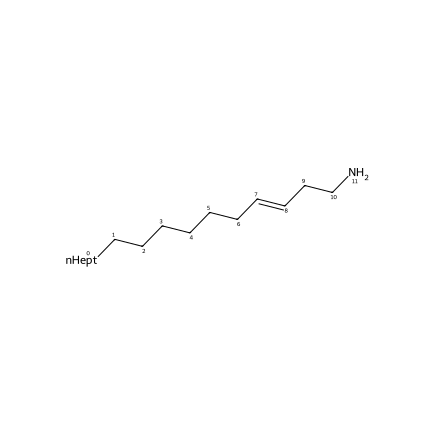 CCCCCCCCCCCCC/C=C/CCN